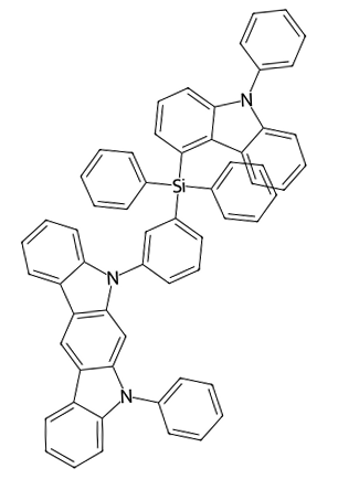 c1ccc(-n2c3ccccc3c3cc4c5ccccc5n(-c5cccc([Si](c6ccccc6)(c6ccccc6)c6cccc7c6c6ccccc6n7-c6ccccc6)c5)c4cc32)cc1